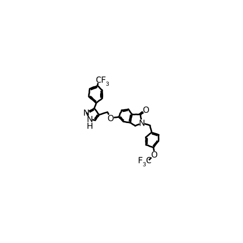 O=C1c2ccc(OCc3c[nH]nc3-c3ccc(C(F)(F)F)cc3)cc2CN1Cc1ccc(OC(F)(F)F)cc1